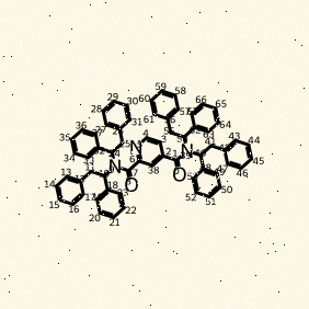 O=C(c1ccnc(C(=O)N(C(Cc2ccccc2)c2ccccc2)C(Cc2ccccc2)c2ccccc2)c1)N(C(Cc1ccccc1)c1ccccc1)C(Cc1ccccc1)c1ccccc1